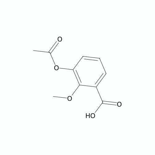 COc1c(OC(C)=O)cccc1C(=O)O